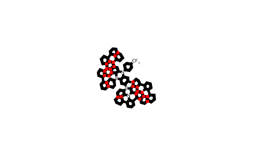 FC(F)(F)c1ccc(N2c3cc4c(cc3B3c5ccccc5N(c5c(-c6ccccc6)cccc5-c5ccccc5)c5cc(N(c6ccccc6)c6c(-c7ccccc7)cccc6-c6ccccc6)cc2c53)B2c3ccccc3N(c3c(-c5ccccc5)cccc3-c3ccccc3)c3cc(N(c5ccccc5)c5c(-c6ccccc6)cccc5-c5ccccc5)cc(c32)S4)cc1